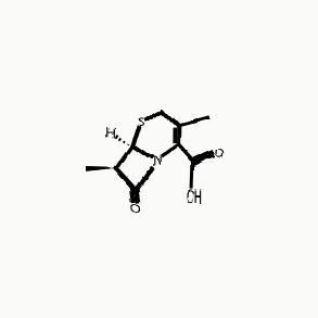 CC1=C(C(=O)O)N2C(=O)[C@@H](C)[C@H]2SC1